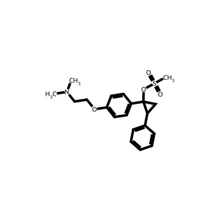 CN(C)CCOc1ccc(C2(OS(C)(=O)=O)CC2c2ccccc2)cc1